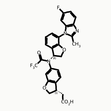 Cc1nc2ccc(F)cc2n1-c1cccc2c1OC[C@@H]2N(C(=O)C(F)(F)F)c1ccc2c(c1)OC[C@H]2CC(=O)O